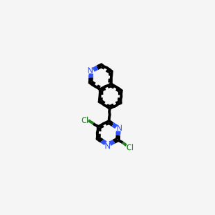 Clc1ncc(Cl)c(-c2ccc3ccncc3c2)n1